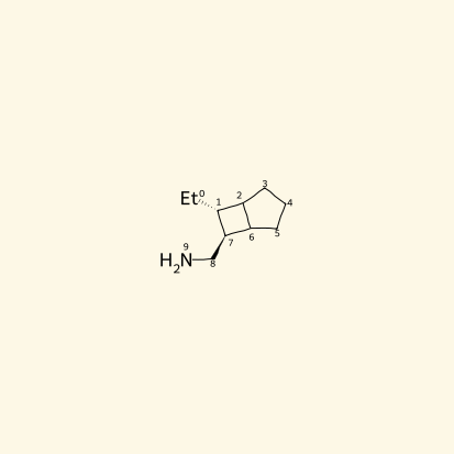 CC[C@@H]1C2CCCC2[C@H]1CN